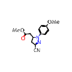 COC(=O)CC1CC(C#N)=NN1c1ccc(OC)cc1